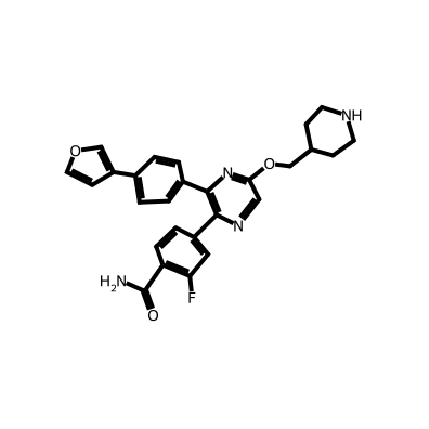 NC(=O)c1ccc(-c2ncc(OCC3CCNCC3)nc2-c2ccc(-c3ccoc3)cc2)cc1F